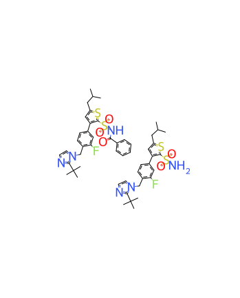 CC(C)Cc1cc(-c2ccc(Cn3ccnc3C(C)(C)C)c(F)c2)c(S(=O)(=O)NC(=O)c2ccccc2)s1.CC(C)Cc1cc(-c2ccc(Cn3ccnc3C(C)(C)C)c(F)c2)c(S(N)(=O)=O)s1